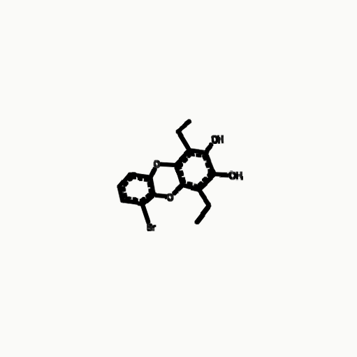 CCc1c(O)c(O)c(CC)c2c1Oc1cccc(Br)c1O2